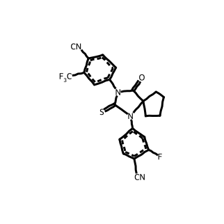 [C-]#[N+]c1ccc(N2C(=O)C3(CCCC3)N(c3ccc(C#N)c(F)c3)C2=S)cc1C(F)(F)F